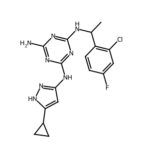 CC(Nc1nc(N)nc(Nc2cc(C3CC3)[nH]n2)n1)c1ccc(F)cc1Cl